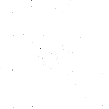 OC(O)c1cccc(I)c1